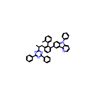 Cc1ccccc1-c1c(CC(C)c2nc(-c3ccccc3)nc(-c3ccccc3)n2)cccc1-c1ccc2c(c1)c1ncccc1n2-c1ccccc1